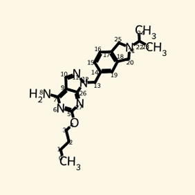 CCCCOc1nc(N)c2cnn(Cc3ccc4c(c3)CN(C(C)C)C4)c2n1